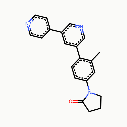 Cc1cc(N2CCCC2=O)ccc1-c1cncc(-c2ccncc2)c1